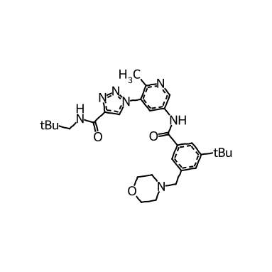 Cc1ncc(NC(=O)c2cc(CN3CCOCC3)cc(C(C)(C)C)c2)cc1-n1cc(C(=O)NCC(C)(C)C)nn1